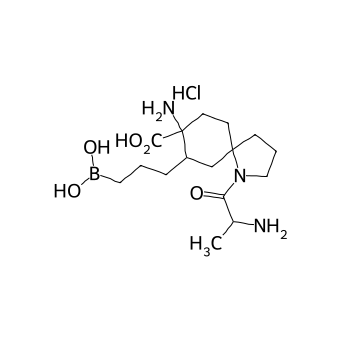 CC(N)C(=O)N1CCCC12CCC(N)(C(=O)O)C(CCCB(O)O)C2.Cl